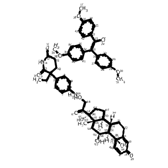 CCC1(c2ccc(N)cc2)CCC(=O)NC1=O.COc1ccc(C(Cl)=C(c2ccc(OC)cc2)c2ccc(OC)cc2)cc1.C[C@]12C=CC(=O)C=C1CC[C@@H]1[C@@H]2[C@@H](O)C[C@@]2(C)[C@H]1CC[C@]2(O)C(=O)CO